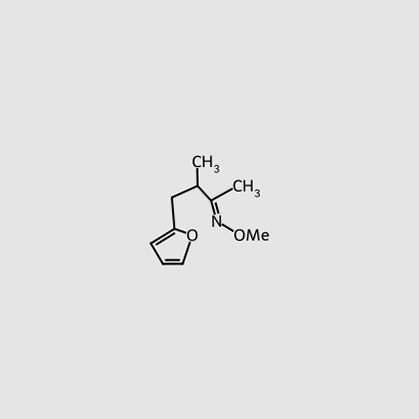 CON=C(C)C(C)Cc1ccco1